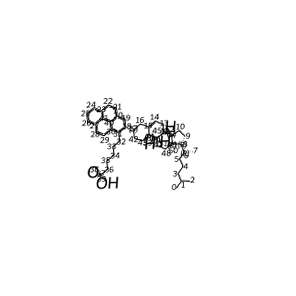 CC(C)CCC[C@@H](C)[C@H]1CC[C@H]2[C@@H]3CC=C4C[C@@H](c5cc6ccc7cccc8ccc(c5CCCCCC(=O)O)c6c78)CC[C@]4(C)[C@H]3CC[C@]12C